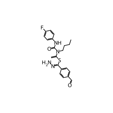 C=C(S/C(=N\N)c1ccc(C=O)cc1)N(CCCC)C(=O)Nc1ccc(F)cc1